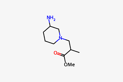 COC(=O)C(C)CN1CCCC(N)C1